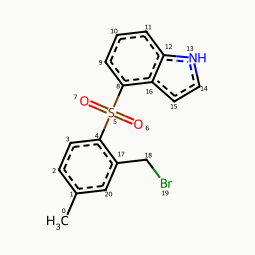 Cc1ccc(S(=O)(=O)c2cccc3[nH]ccc23)c(CBr)c1